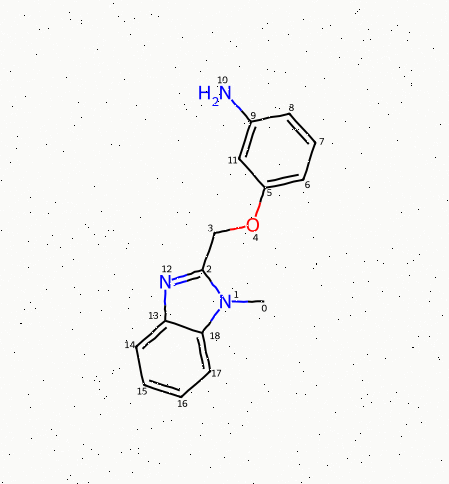 Cn1c(COc2cccc(N)c2)nc2ccccc21